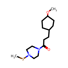 COC1CCC(CCC(=O)N2CCN(SC)CC2)CC1